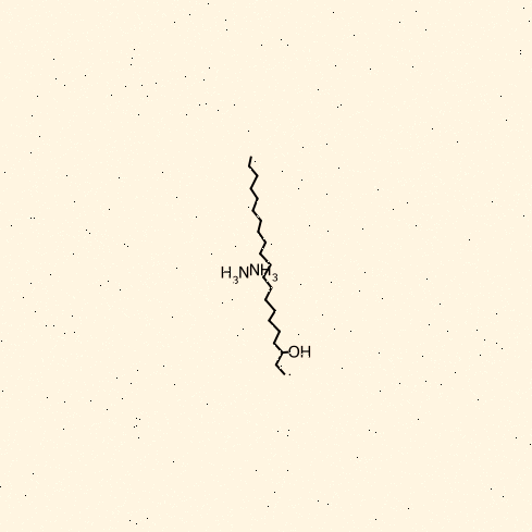 N.N.[CH2]CC(O)CCCCCCCCCCCCCCCCCC